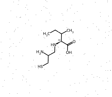 CCC(C)[C@H](NCC(N)CS)C(=O)O